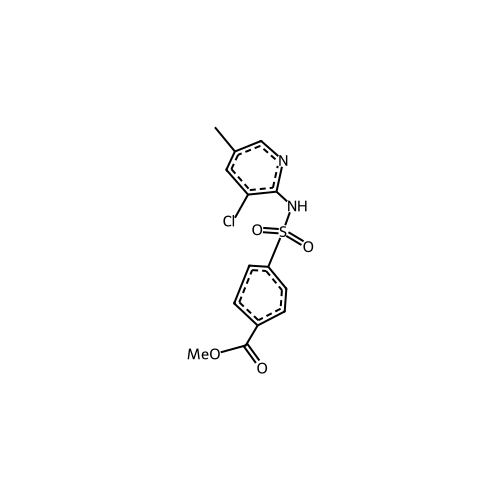 COC(=O)c1ccc(S(=O)(=O)Nc2ncc(C)cc2Cl)cc1